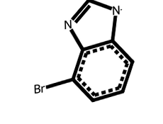 Brc1cccc2c1N=C[N]2